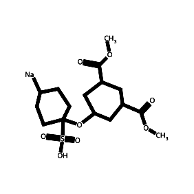 COC(=O)C1CC(OC2(S(=O)(=O)O)CC[CH]([Na])CC2)CC(C(=O)OC)C1